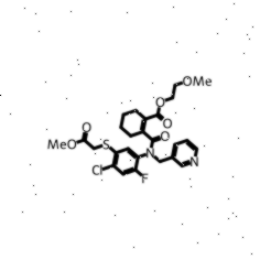 COCCOC(=O)C1=C(C(=O)N(Cc2cccnc2)c2cc(SCC(=O)OC)c(Cl)cc2F)CCCC1